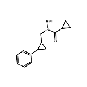 CCCCN(CC1CC1c1ccccc1)C(=O)C1CC1